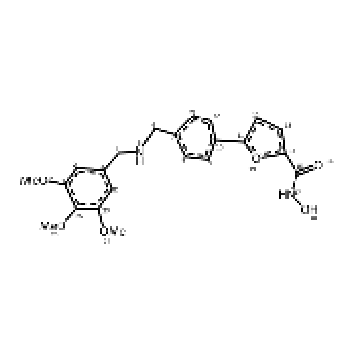 COc1cc(CNCc2ccc(-c3ccc(C(=O)NO)o3)cc2)cc(OC)c1OC